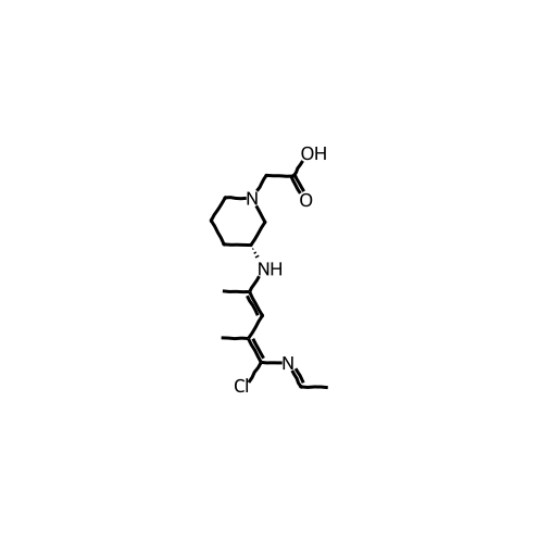 C/C=N/C(Cl)=C(C)\C=C(/C)N[C@@H]1CCCN(CC(=O)O)C1